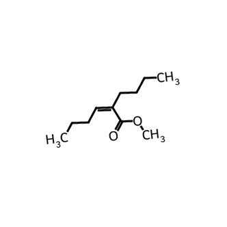 CCCC=C(CCCC)C(=O)OC